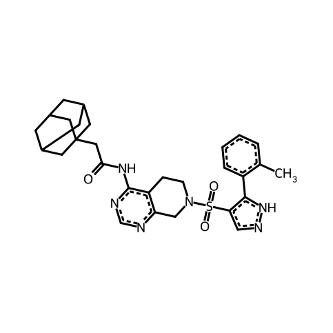 Cc1ccccc1-c1[nH]ncc1S(=O)(=O)N1CCc2c(ncnc2NC(=O)CC23CC4CC(CC(C4)C2)C3)C1